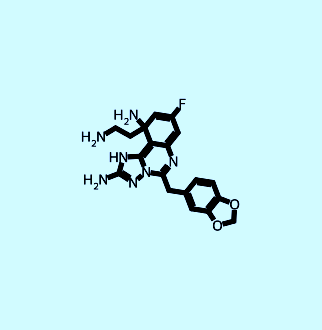 NCCC1(N)C=C(F)C=C2N=C(Cc3ccc4c(c3)OCO4)N3N=C(N)NC3=C21